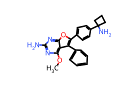 COc1nc(N)nc2oc(-c3ccc(C4(N)CCC4)cc3)c(-c3ccccc3)c12